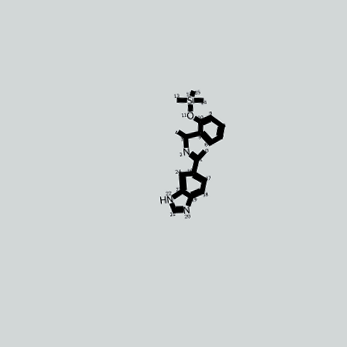 CC(=NC(C)c1ccccc1O[Si](C)(C)C)c1ccc2nc[nH]c2c1